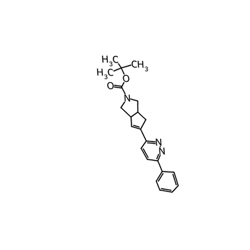 CC(C)(C)OC(=O)N1CC2C=C(c3ccc(-c4ccccc4)nn3)CC2C1